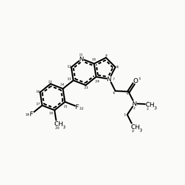 CCN(C)C(=O)Cn1ccc2ncc(-c3ccc(F)c(C)c3F)cc21